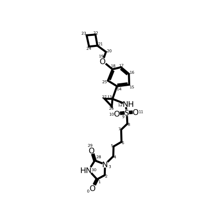 O=C1CN(CCCCCS(=O)(=O)NC2(c3cccc(OCC4CCC4)c3)CC2)C(=O)N1